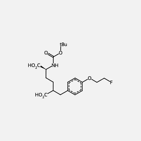 CC(C)(C)OC(=O)N[C@@H](CCC(Cc1ccc(OCCF)cc1)C(=O)O)C(=O)O